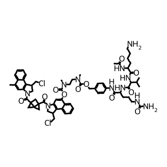 CC(=O)NC(CCCCN)C(=O)NC(C(=O)NC(CCCNC(N)=O)C(=O)Nc1ccc(COC(=O)N(C)CCN(C)C(=O)Oc2cc3c(c4ccccc24)C(CCl)CN3C(=O)C23CC4(C(=O)N5CC(CCl)c6c5cc(C)c5ccccc65)CC42C3)cc1)C(C)C